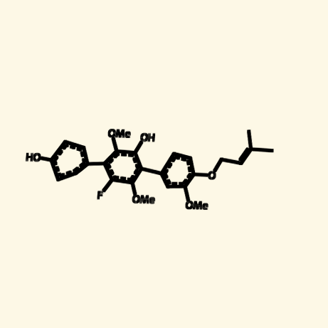 COc1cc(-c2c(O)c(OC)c(-c3ccc(O)cc3)c(F)c2OC)ccc1OCC=C(C)C